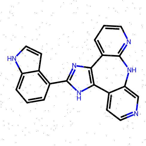 c1cnc2c(c1)-c1nc(-c3cccc4[nH]ccc34)[nH]c1-c1ccncc1N2